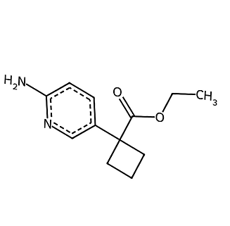 CCOC(=O)C1(c2ccc(N)nc2)CCC1